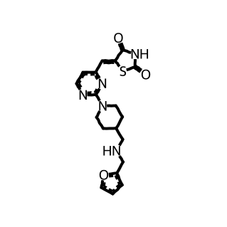 O=C1NC(=O)C(=Cc2ccnc(N3CCC(CNCc4ccco4)CC3)n2)S1